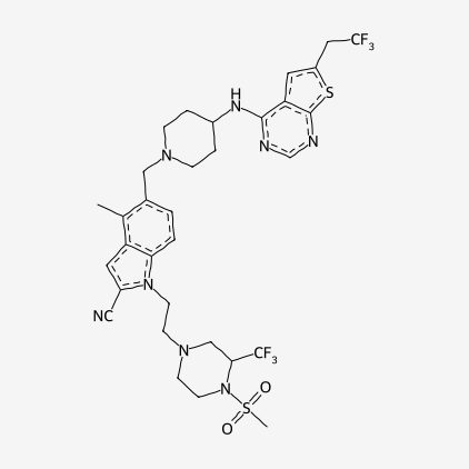 Cc1c(CN2CCC(Nc3ncnc4sc(CC(F)(F)F)cc34)CC2)ccc2c1cc(C#N)n2CCN1CCN(S(C)(=O)=O)C(C(F)(F)F)C1